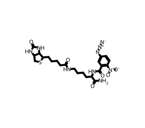 [N-]=[N+]=Nc1ccc([N+](=O)[O-])c(C(=O)NC(CCCCNC(=O)CCCCC2SCC3NC(=O)NC32)C(N)=O)c1